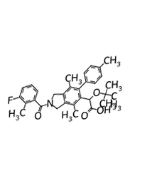 Cc1ccc(-c2c(C)c3c(c(C)c2C(OC(C)(C)C)C(=O)O)CN(C(=O)c2cccc(F)c2C)C3)cc1